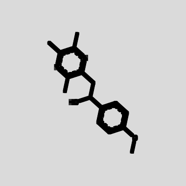 COc1ccc(C(O)Cc2nc(C)c(C)nc2C)cc1